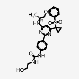 C[C@@H](CO)Nc1cc(C2(S(=O)(=O)c3ccccc3)CC2)nc(-c2ccc(NC(=O)NCCO)cc2)n1